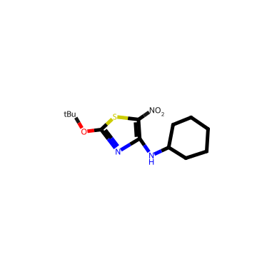 CC(C)(C)Oc1nc(NC2CCCCC2)c([N+](=O)[O-])s1